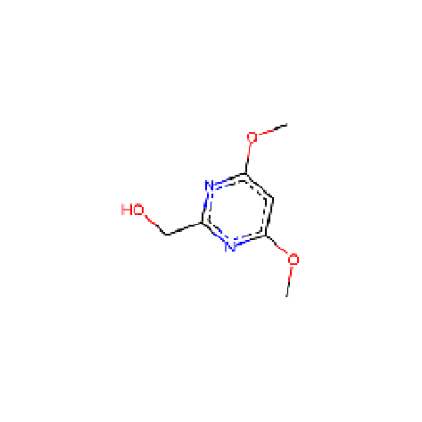 COc1cc(OC)nc(CO)n1